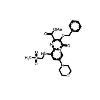 COC(=O)c1nc2c(NCS(C)(=O)=O)cc(N3CCOCC3)cn2c(=O)c1OCc1ccccc1